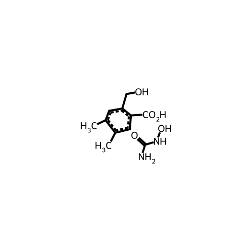 Cc1cc(CO)c(C(=O)O)cc1C.NC(=O)NO